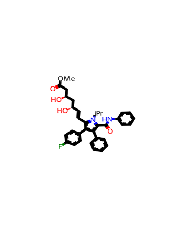 COC(=O)C[C@H](O)C[C@@H](O)C=Cc1c(-c2ccc(F)cc2)c(-c2ccccc2)c(C(=O)Nc2ccccc2)n1C(C)C